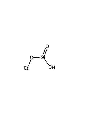 CCO[Se](=O)O